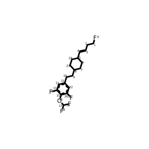 FCCC=CC1CCC(CCc2cc(F)c(OC(F)F)c(F)c2)CC1